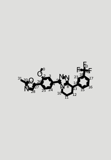 COc1cc(-c2nnc3n2CCCC3c2cccc(C(F)(F)F)c2)ccc1-c1cnc(C)o1